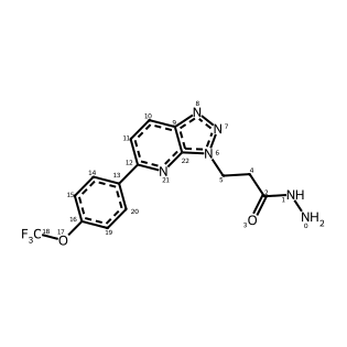 NNC(=O)CCn1nnc2ccc(-c3ccc(OC(F)(F)F)cc3)nc21